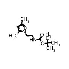 Cc1[c]c(C)n(CCNC(=O)OC(C)(C)C)n1